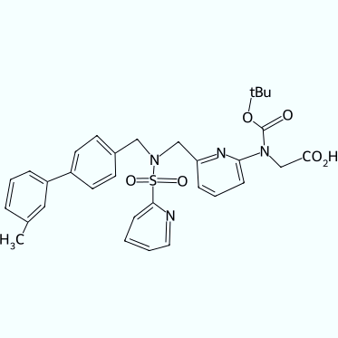 Cc1cccc(-c2ccc(CN(Cc3cccc(N(CC(=O)O)C(=O)OC(C)(C)C)n3)S(=O)(=O)c3ccccn3)cc2)c1